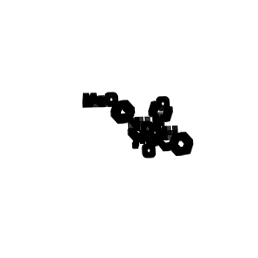 COc1ccc(NC[C@H](C)NC(=O)[C@H](CC2CCCCC2)NC(=O)N2CCOCC2)cc1